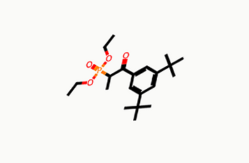 CCOP(=O)(OCC)C(C)C(=O)c1cc(C(C)(C)C)cc(C(C)(C)C)c1